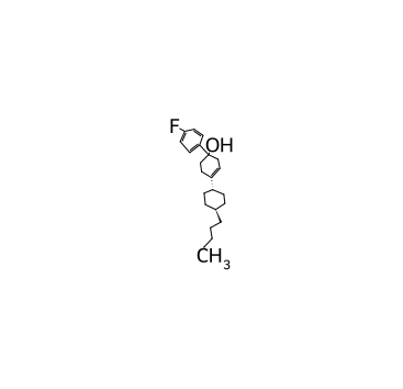 CCCCC[C@H]1CC[C@H](C2=CCC(O)(c3ccc(F)cc3)CC2)CC1